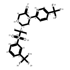 CC(C)([C@H]1CN(c2ccc(C(F)(F)F)cn2)C(=O)CO1)S(=O)(=O)c1cccc(C(F)(F)F)c1